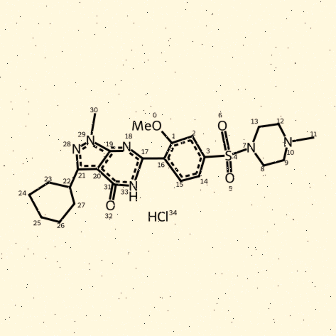 COc1cc(S(=O)(=O)N2CCN(C)CC2)ccc1-c1nc2c(c(C3CCCCC3)nn2C)c(=O)[nH]1.Cl